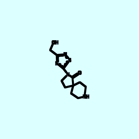 O=C1N(c2nc(CO)ns2)CCC12CCNCC2